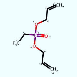 C=CCOP(=O)(CC(F)(F)F)OCC=C